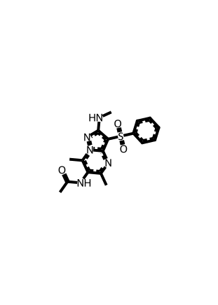 CNc1nn2c(C)c(NC(C)=O)c(C)nc2c1S(=O)(=O)c1ccccc1